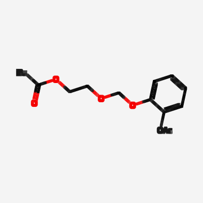 CCC(C)C(=O)OCCOCOc1ccccc1OC(C)=O